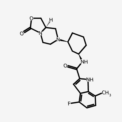 Cc1ccc(F)c2cc(C(=O)N[C@@H]3CCC[C@H](N4CCN5C(=O)OC[C@H]5C4)C3)[nH]c12